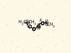 CCC(F)(CC)CN1CCC(c2cccc(-c3cn(Cc4ccc(C(=O)OC)cc4F)nn3)c2)CC1